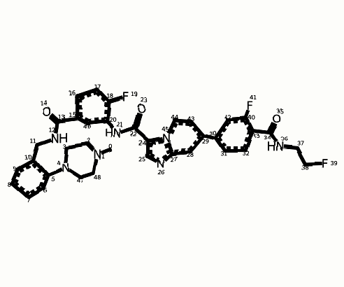 CN1CCN(c2ccccc2CNC(=O)c2ccc(F)c(NC(=O)c3cnc4cc(-c5ccc(C(=O)NCCF)c(F)c5)ccn34)c2)CC1